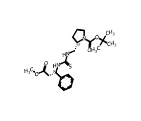 COC(=O)C[C@H](NC(=S)NC[C@@H]1CCCN1C(=O)OC(C)(C)C)c1ccccc1